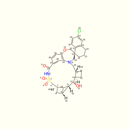 O=C1NS(=O)(=O)C[C@@H]2C[C@@H]3C2[C@@H]3[C@H](O)[C@@H]2CC[C@H]2CN2C[C@@]3(CCCc4cc(Cl)ccc43)COc3ccc1cc32